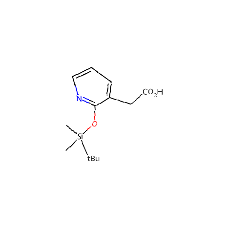 CC(C)(C)[Si](C)(C)Oc1ncccc1CC(=O)O